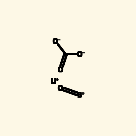 O=C([O-])[O-].[B+]=O.[Li+]